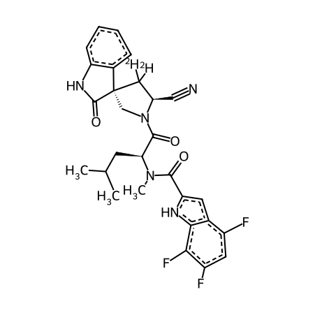 [2H]C1([2H])[C@@H](C#N)N(C(=O)[C@H](CC(C)C)N(C)C(=O)c2cc3c(F)cc(F)c(F)c3[nH]2)C[C@@]12C(=O)Nc1ccccc12